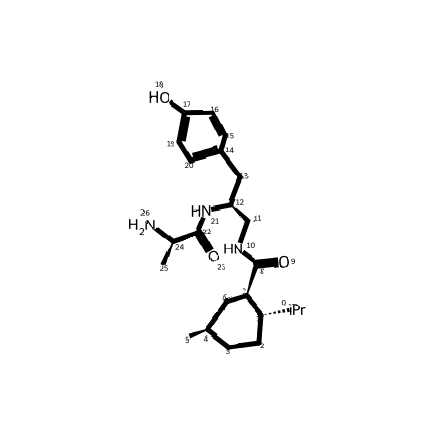 CC(C)[C@@H]1CC[C@@H](C)C[C@H]1C(=O)NC[C@H](Cc1ccc(O)cc1)NC(=O)[C@@H](C)N